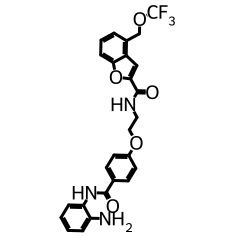 Nc1ccccc1NC(=O)c1ccc(OCCNC(=O)c2cc3c(COC(F)(F)F)cccc3o2)cc1